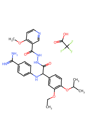 CCOc1cc(C(Nc2ccc(C(=N)N)cc2)C(=O)NNC(=O)c2cnccc2OC)ccc1OC(C)C.O=C(O)C(F)(F)F